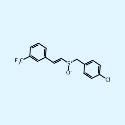 [O-][S+](/C=C/c1cccc(C(F)(F)F)c1)Cc1ccc(Cl)cc1